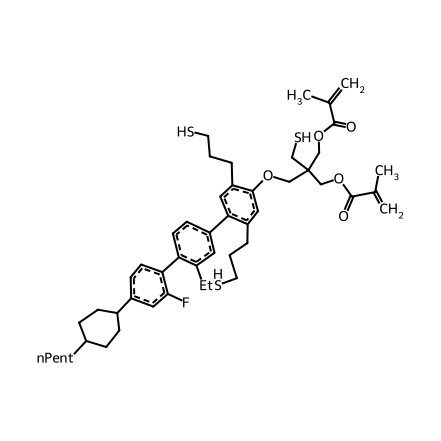 C=C(C)C(=O)OCC(CS)(COC(=O)C(=C)C)COc1cc(CCCS)c(-c2ccc(-c3ccc(C4CCC(CCCCC)CC4)cc3F)c(CC)c2)cc1CCCS